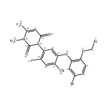 CC(=O)COc1ccc(Br)cc1Oc1cc(-n2c(=O)cc(C(F)(F)F)n(C)c2=O)c(F)cc1C#N